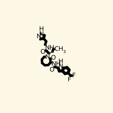 CCC[C@@H](C(=O)NCCc1cn[nH]c1)N1CCCCC[C@H](NC(=O)c2cc3cc(C(F)F)ccc3[nH]2)C1=O